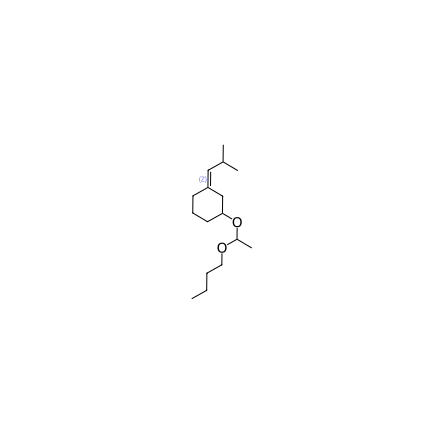 CCCCOC(C)OC1CCC/C(=C/C(C)C)C1